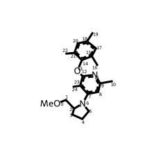 COCC1CCCN1c1cc(C)nc(Oc2c(C)cc(C)cc2C)c1C